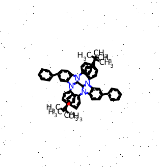 CC(C)c1ccc(N2c3ccc(-c4ccccc4)cc3N(c3ccc(C(C)C)cc3)C2C2N(c3ccc(C(C)C)cc3)c3ccc(-c4ccccc4)cc3N2c2ccc(C(C)C)cc2)cc1